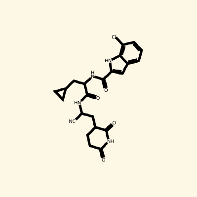 N#CC(CC1CCC(=O)NC1=O)NC(=O)C(CC1CC1)NC(=O)c1cc2cccc(Cl)c2[nH]1